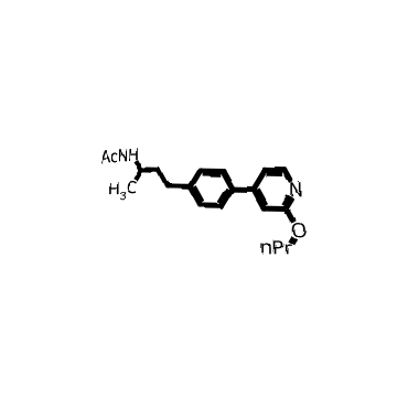 CCCOc1cc(-c2ccc(CCC(C)NC(C)=O)cc2)ccn1